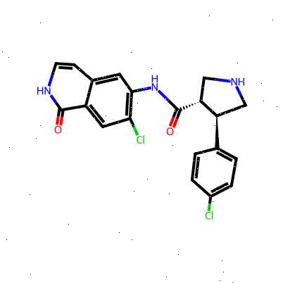 O=C(Nc1cc2cc[nH]c(=O)c2cc1Cl)[C@@H]1CNC[C@H]1c1ccc(Cl)cc1